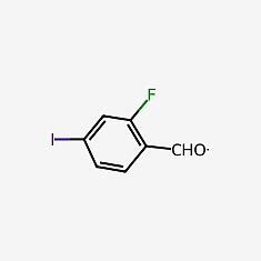 O=[C]c1ccc(I)cc1F